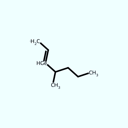 [CH2][CH]=[GeH][CH](C)CCC